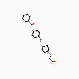 COC(=O)CCc1ccc(OCc2ccc(OC(=O)c3ccccc3)cc2)cc1